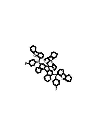 Fc1ccc(N(c2cc3c(c4ccccc24)-c2c(cc(N(c4ccc(F)cc4)c4cccc5c4oc4ccccc45)c4ccccc24)C32c3ccccc3-n3c4ccccc4c4cccc2c43)c2cccc3c2oc2ccccc23)cc1